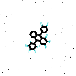 Fc1ccc(-c2c3ccccc3c(-c3c(F)c(F)c(F)c(F)c3F)c3c(F)c(F)c(F)c(F)c23)cc1F